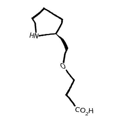 O=C(O)CCOC[C@@H]1CCCN1